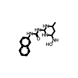 CC1CC(NO)NC(NC(=O)Nc2ccc3ccccc3c2)N1